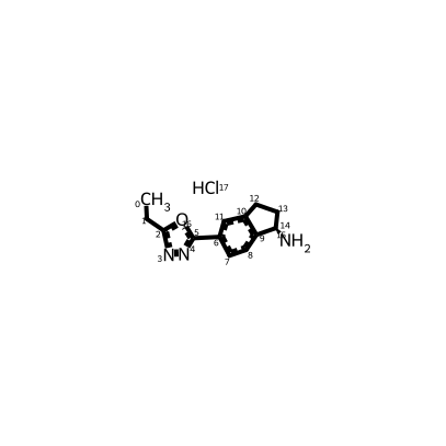 CCc1nnc(-c2ccc3c(c2)CC[C@H]3N)o1.Cl